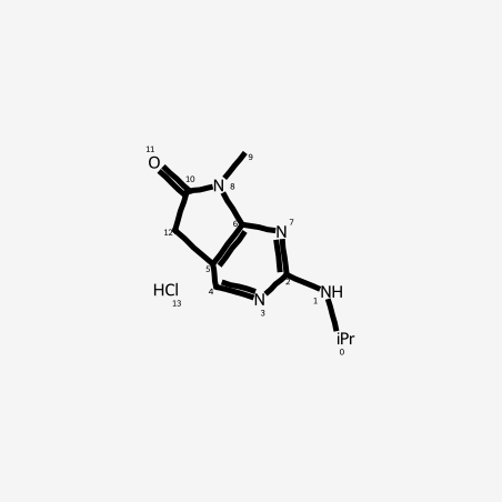 CC(C)Nc1ncc2c(n1)N(C)C(=O)C2.Cl